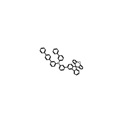 c1ccc(-c2ccc(-c3cccc(N(c4cccc(-c5ccccc5)c4)c4cccc(-c5ccc6c(c5)-c5ccccc5C65c6ccccc6Oc6ccccc65)c4)c3)cc2)cc1